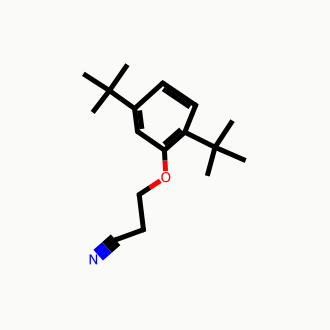 CC(C)(C)c1ccc(C(C)(C)C)c(OCCC#N)c1